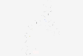 CC(C)[Si](O)(c1cccc(/C=C/c2ccc(-c3ccc(-c4ccc(N(c5ccc6c(c5)C(C)(C)c5ccccc5-6)c5ccc6c(c5)C(C)(C)c5ccccc5-6)cc4)s3)s2)c1)C(C)C